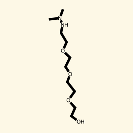 CN(C)NCCOCCOCCOCCO